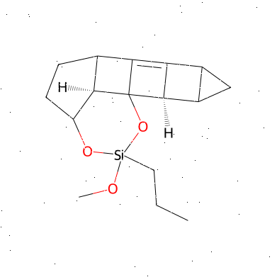 CCC[Si]1(OC)OC2CCC3C4=C5C6CC6[C@H]5C4(O1)[C@@H]23